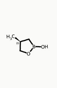 C[C@@H]1COB(O)C1